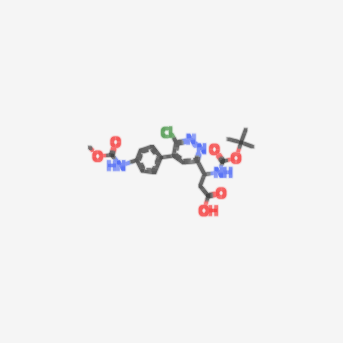 COC(=O)Nc1ccc(-c2cc(C(CC(=O)O)NC(=O)OC(C)(C)C)nnc2Cl)cc1